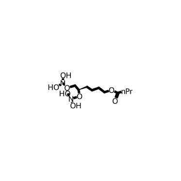 CCCC(=O)OCCCC[C@H](CON(O)O)ON(O)O